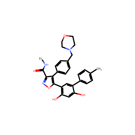 CCNC(=O)c1noc(-c2cc(-c3ccc(C)cc3)c(O)cc2O)c1-c1ccc(CN2CCOCC2)cc1